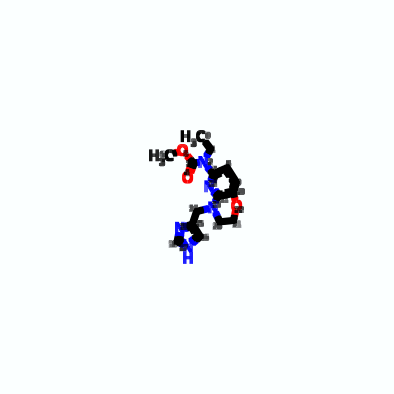 CCN(C(=O)OC)c1ccc2c(n1)N(Cc1c[nH]cn1)CCO2